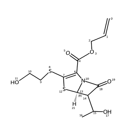 C=CCOC(=O)C1=C(SCCO)S[C@@H]2C(C(C)O)C(=O)N12